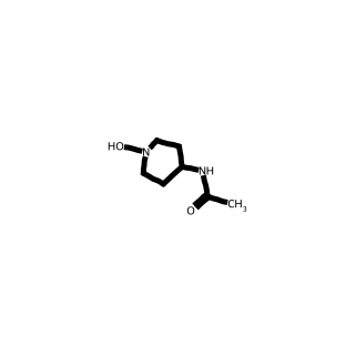 CC(=O)NC1CCN(O)CC1